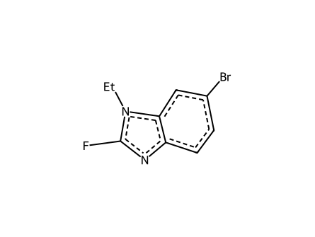 CCn1c(F)nc2ccc(Br)cc21